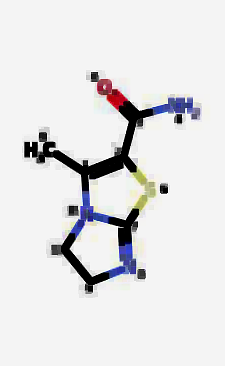 CC1=C(C(N)=O)SC2=NCCN21